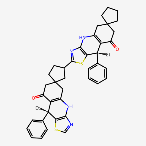 CC[C@@]1(c2ccccc2)C2=C(CC3(CCC(c4nc5c(s4)[C@@](CC)(c4ccccc4)C4=C(CC6(CCCC6)CC4=O)N5)C3)CC2=O)Nc2ncsc21